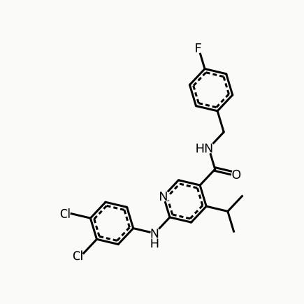 CC(C)c1cc(Nc2ccc(Cl)c(Cl)c2)ncc1C(=O)NCc1ccc(F)cc1